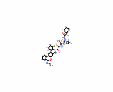 CCNC(=O)c1ccccc1-c1ccc(CN2C(=O)C(NC(=O)CC(C)(C)NCc3cc4ccccc4o3)CSc3ccccc32)cc1